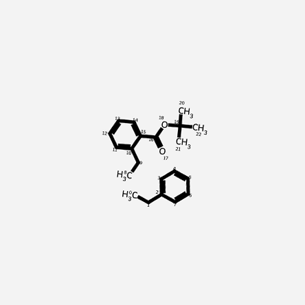 CCc1ccccc1.CCc1ccccc1C(=O)OC(C)(C)C